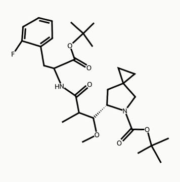 COC(C(C)C(=O)NC(Cc1ccccc1F)C(=O)OC(C)(C)C)[C@@H]1CC2(CC2)CN1C(=O)OC(C)(C)C